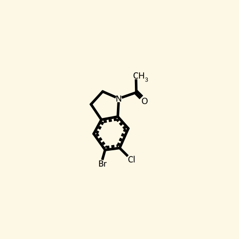 CC(=O)N1CCc2cc(Br)c(Cl)cc21